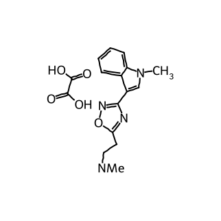 CNCCc1nc(-c2cn(C)c3ccccc23)no1.O=C(O)C(=O)O